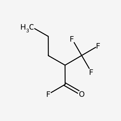 CCCC(C(=O)F)C(F)(F)F